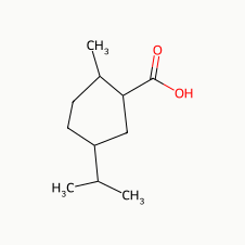 CC(C)C1CCC(C)C(C(=O)O)C1